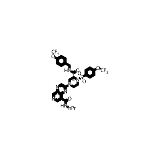 CCCNC(=O)c1cncc2ncc(N3CCN(S(=O)(=O)c4ccc(OC(F)(F)F)cc4)[C@@H](C(=O)NCc4ccc(OC(F)(F)F)cc4)C3)nc12